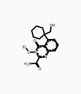 CCOn1c(C(N)=O)nc2cccc(C3(CO)CCCCC3)c2c1=O